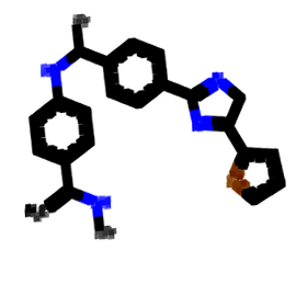 C=C(NCCC)c1ccc(NC(c2ccc(C3=NCC(c4cccs4)=N3)cc2)C(C)C)cc1